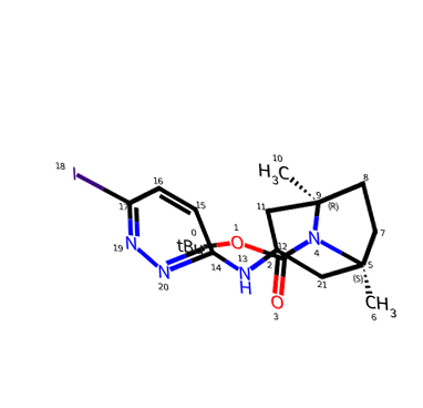 CC(C)(C)OC(=O)N1[C@@]2(C)CC[C@]1(C)CC(Nc1ccc(I)nn1)C2